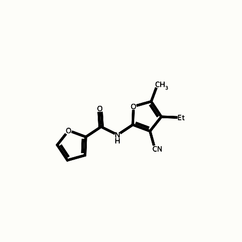 CCc1c(C)oc(NC(=O)c2ccco2)c1C#N